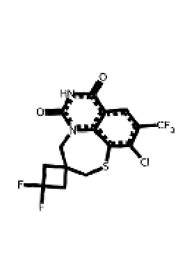 O=c1[nH]c(=O)n2c3c(c(Cl)c(C(F)(F)F)cc13)SCC1(C2)CC(F)(F)C1